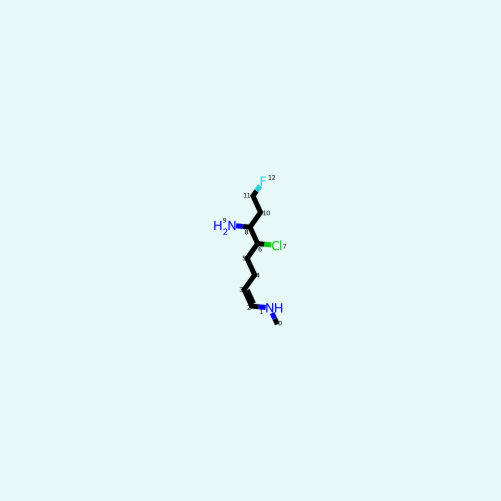 CN/C=C\CCC(Cl)C(N)CCF